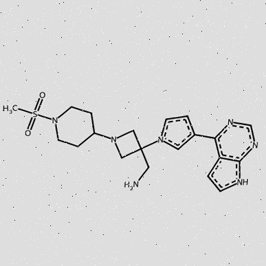 CS(=O)(=O)N1CCC(N2CC(CN)(n3ccc(-c4ncnc5[nH]ccc45)c3)C2)CC1